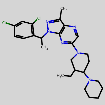 CCC1CN(c2cnc3c(C)nn(C(C)c4ccc(Cl)cc4Cl)c3n2)CCC1N1CCCCC1